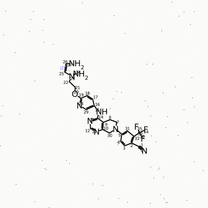 N#Cc1ccc(N2CCc3c(ncnc3Nc3ccc(OCCN(N)/C=C\N)nc3)C2)cc1C(F)(F)F